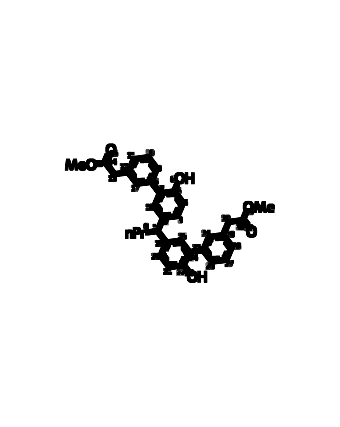 CCCC(c1ccc(O)c(-c2cccc(CC(=O)OC)c2)c1)c1ccc(O)c(-c2cccc(CC(=O)OC)c2)c1